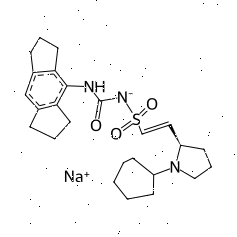 O=C([N-]S(=O)(=O)/C=C/[C@H]1CCCN1C1CCCCC1)Nc1c2c(cc3c1CCC3)CCC2.[Na+]